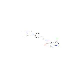 CCn1cc(Cl)c2cc(C(=O)NCCc3ccc(N4CCN([C]=O)C(C(C)(C)C)C4)cc3)cnc21